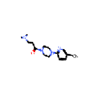 CN(C)CCC(=O)N1CCN(c2ccc(C#N)cn2)CC1